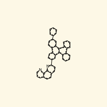 c1ccc(-c2ccc3c4ccc(-c5ccc6ccc7cccnc7c6n5)cc4c4c5ccccc5c5ccccc5c4c3c2)cc1